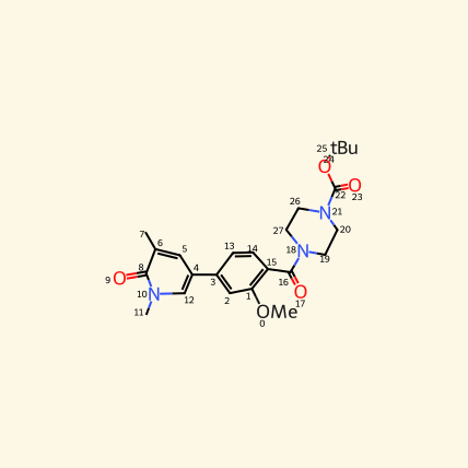 COc1cc(-c2cc(C)c(=O)n(C)c2)ccc1C(=O)N1CCN(C(=O)OC(C)(C)C)CC1